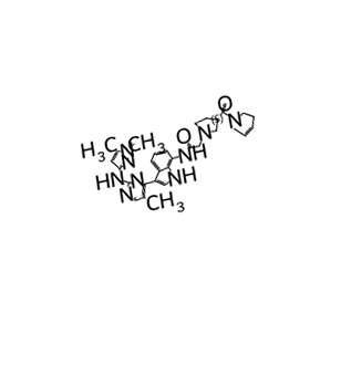 Cc1cnc(Nc2cc(C)n(C)n2)nc1-c1c[nH]c2c(NC(=O)CN3CC[C@H](C(=O)N4CC=CCC4)C3)cccc12